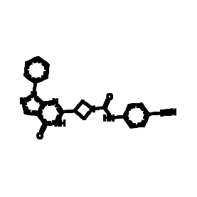 N#Cc1ccc(NC(=O)N2CC(c3nc4c(cnn4-c4ccccc4)c(=O)[nH]3)C2)cc1